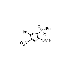 COc1cc([N+](=O)[O-])c(Br)cc1S(=O)(=O)C(C)(C)C